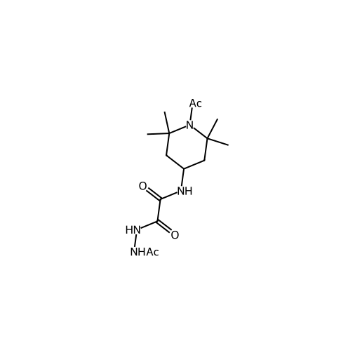 CC(=O)NNC(=O)C(=O)NC1CC(C)(C)N(C(C)=O)C(C)(C)C1